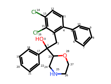 OC(Cc1c(-c2ccccc2)ccc(Cl)c1Cl)(c1ccccc1)C1CNCCO1